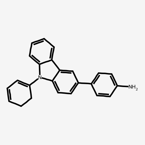 Nc1ccc(-c2ccc3c(c2)c2ccccc2n3C2=CC=CCC2)cc1